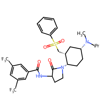 CC(C)N(C)[C@@H]1CC[C@H](N2CCC(NC(=O)c3cc(C(F)(F)F)cc(C(F)(F)F)c3)C2=O)[C@H](CS(=O)(=O)c2ccccc2)C1